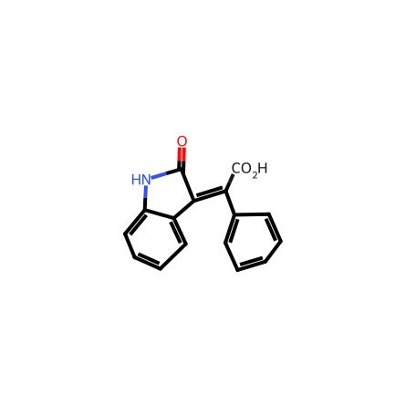 O=C(O)/C(=C1\C(=O)Nc2ccccc21)c1ccccc1